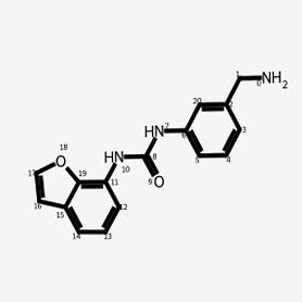 NCc1cccc(NC(=O)Nc2cccc3ccoc23)c1